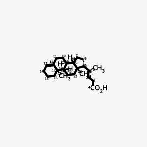 C[C@H](CCC(=O)O)[C@H]1CC[C@H]2[C@@H]3CCC4=CCCC[C@]4(C)[C@H]3CC[C@]12C